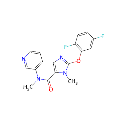 CN(C(=O)c1cnc(Oc2cc(F)ccc2F)n1C)c1cccnc1